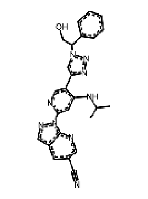 CC(C)Nc1cc(-n2ncc3cc(C#N)cnc32)ncc1-c1cn(C(CO)c2ccccc2)nn1